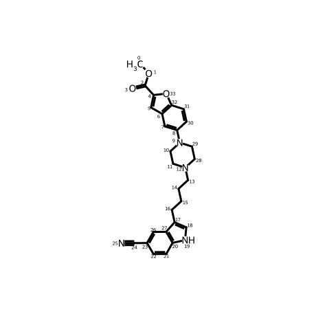 COC(=O)c1cc2cc(N3CCN(CCCCc4c[nH]c5ccc(C#N)cc45)CC3)ccc2o1